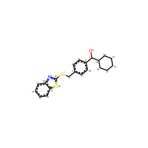 [O]C(c1ccc(CSc2nc3ccccc3s2)cc1)C1CCCCC1